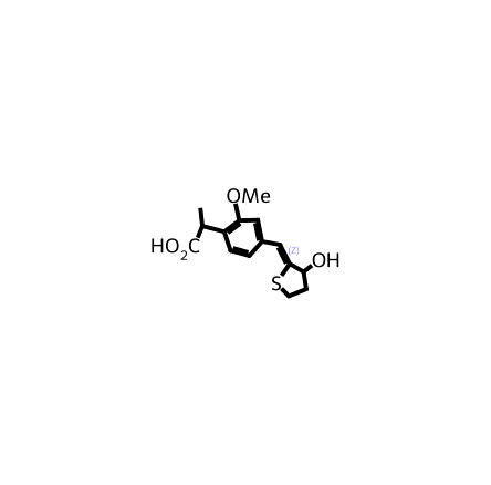 COc1cc(/C=C2\SCCC2O)ccc1C(C)C(=O)O